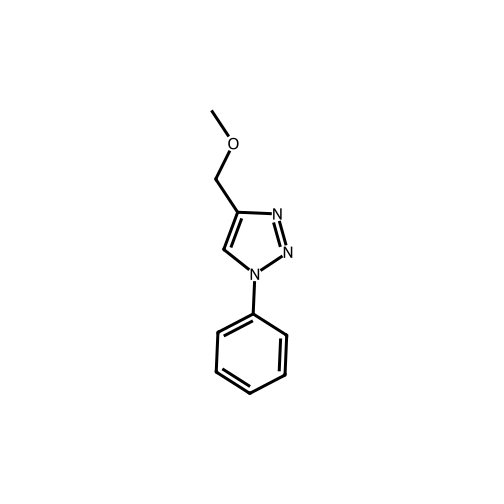 COCc1cn(-c2ccccc2)nn1